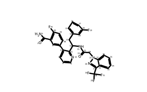 NC(=O)c1cc(-c2cccnc2C(Cc2cccc(F)c2)NC(=O)Cn2nc(C(F)(F)F)c3ccccc32)ccc1F